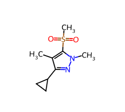 Cc1c(C2CC2)nn(C)c1S(C)(=O)=O